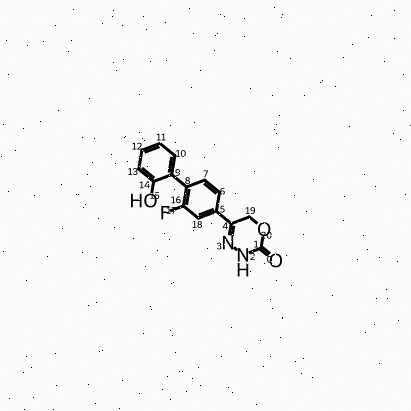 O=C1NN=C(c2ccc(-c3ccccc3O)c(F)c2)CO1